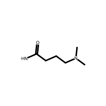 CN(C)CCCC([NH])=O